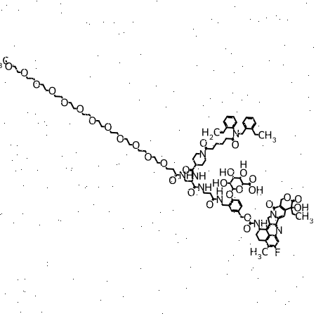 C=Cc1ccccc1N(Cc1ccccc1CC)C(=O)CCCCC(=O)N1CCC(C(=O)NC(CNC(=O)CCOCCOCCOCCOCCOCCOCCOCCOCCOCCOCCOCCOC)C(=O)NCCC(=O)NCc2cc(COC(=O)NC3CCc4c(C)c(F)cc5nc6c(c3c45)Cn3c-6cc4c(c3=O)COC(=O)C4(O)CC)ccc2OC2OC(C(=O)O)C(O)C(O)C2O)CC1